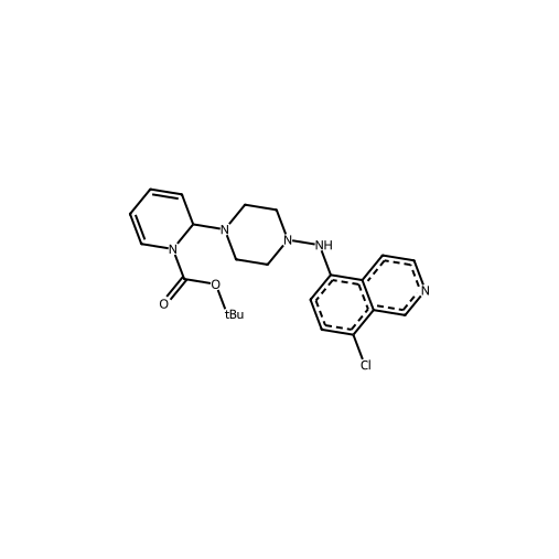 CC(C)(C)OC(=O)N1C=CC=CC1N1CCN(Nc2ccc(Cl)c3cnccc23)CC1